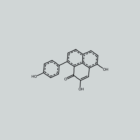 O=C1C(O)=Cc2c(O)ccc3ccc(-c4ccc(O)cc4)c1c23